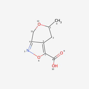 CC1Cc2c(noc2C(=O)O)CO1